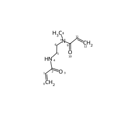 C=CC(=O)NCCN(C)C(=O)C=C